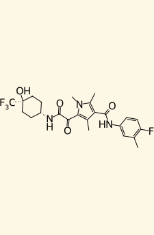 Cc1cc(NC(=O)c2c(C)c(C(=O)C(=O)N[C@H]3CC[C@@](O)(C(F)(F)F)CC3)n(C)c2C)ccc1F